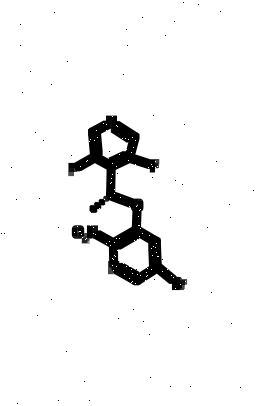 C[C@@H](Oc1cc(Br)cnc1[N+](=O)[O-])c1c(F)cncc1F